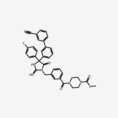 COC(=O)N1CCN(C(=O)c2cccc(CN3C(=N)NC(c4ccc(F)cc4)(c4cccc(-c5cccc(C#N)c5)c4)C3=O)c2)CC1